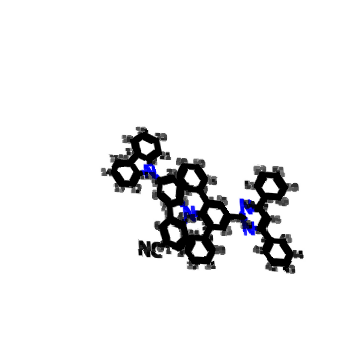 N#Cc1ccc2c(c1)c1cc(-n3c4ccccc4c4ccccc43)ccc1n2-c1c(-c2ccccc2)cc(-c2nc(-c3ccccc3)cc(-c3ccccc3)n2)cc1C1C=CC=CC1